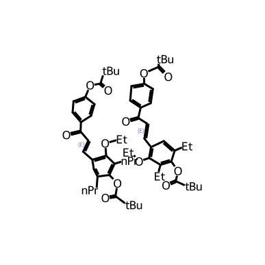 CCCc1cc(/C=C/C(=O)c2ccc(OC(=O)C(C)(C)C)cc2)c(OCC)c(CCC)c1OC(=O)C(C)(C)C.CCOc1c(/C=C/C(=O)c2ccc(OC(=O)C(C)(C)C)cc2)cc(CC)c(OC(=O)C(C)(C)C)c1CC